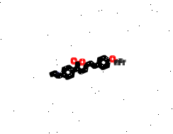 C/C=C/C1CCC(C2CCC(CCC3CCC(OCCC)CC3)OC2=O)CC1